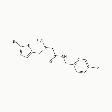 CN(CC(=O)NCc1ccc(Br)cc1)Cc1ccc(Br)s1